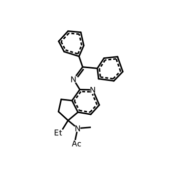 CCC1(N(C)C(C)=O)CCc2c1ccnc2N=C(c1ccccc1)c1ccccc1